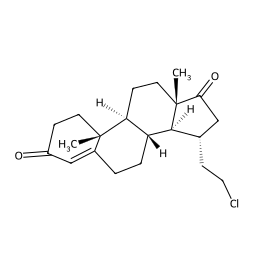 C[C@]12CCC(=O)C=C1CC[C@H]1[C@@H]3[C@@H](CCCl)CC(=O)[C@@]3(C)CC[C@@H]12